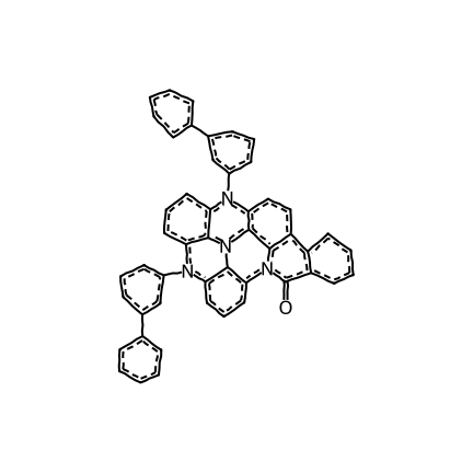 O=c1c2ccccc2c2ccc3c4c2n1c1cccc2c1-n4c1c(cccc1n3-c1cccc(-c3ccccc3)c1)n2-c1cccc(-c2ccccc2)c1